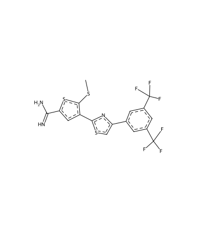 CSc1sc(C(=N)N)cc1-c1nc(-c2cc(C(F)(F)F)cc(C(F)(F)F)c2)cs1